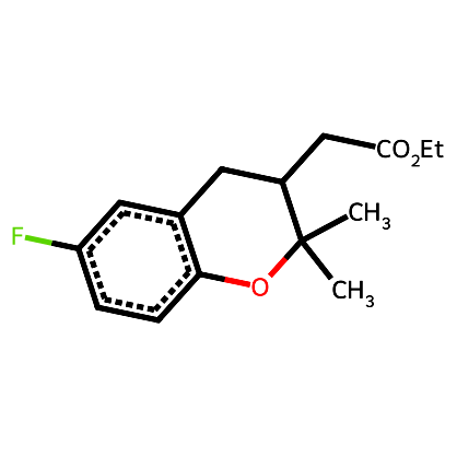 CCOC(=O)CC1Cc2cc(F)ccc2OC1(C)C